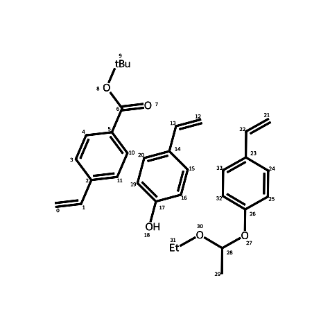 C=Cc1ccc(C(=O)OC(C)(C)C)cc1.C=Cc1ccc(O)cc1.C=Cc1ccc(OC(C)OCC)cc1